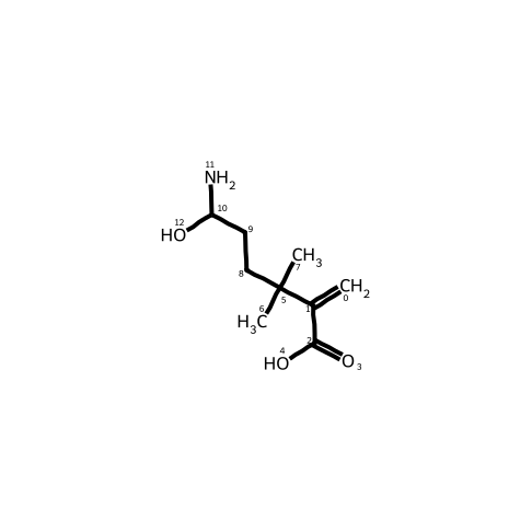 C=C(C(=O)O)C(C)(C)CCC(N)O